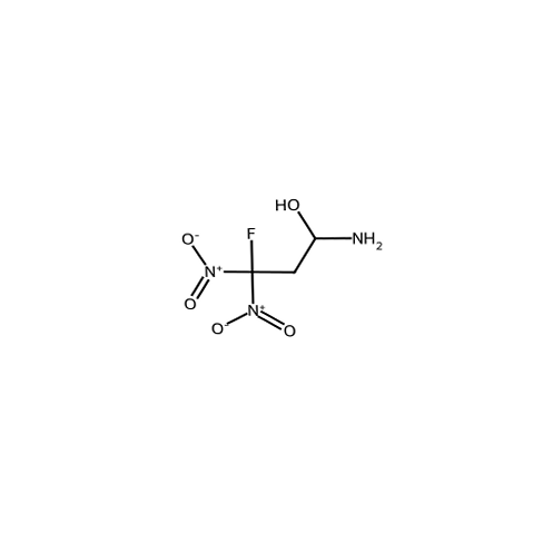 NC(O)CC(F)([N+](=O)[O-])[N+](=O)[O-]